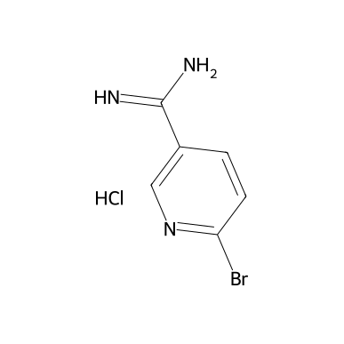 Cl.N=C(N)c1ccc(Br)nc1